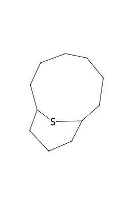 C1CCCC2CCCC(CC1)S2